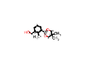 Cc1c(CO)cccc1B1OCC(C)(C)CO1